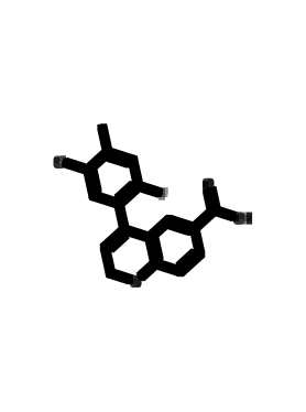 Cc1cc(F)c(C2=CCOc3ccc(C(=O)O)cc32)cc1Cl